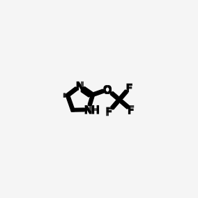 FC(F)(F)OC1=N[C]CN1